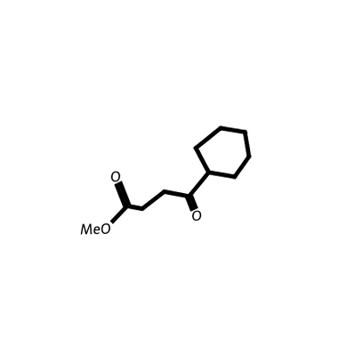 COC(=O)CCC(=O)C1CCCCC1